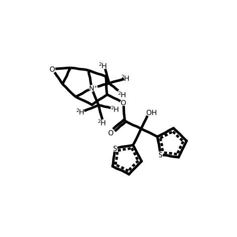 [2H]C([2H])([2H])[N+]1(C([2H])([2H])[2H])C2CC(OC(=O)C(O)(c3cccs3)c3cccs3)CC1C1OC12